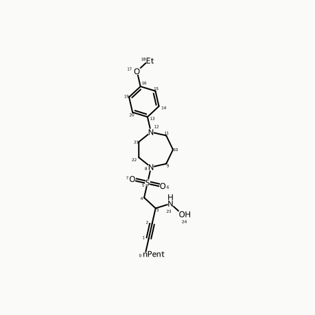 CCCCCC#CC(CS(=O)(=O)N1CCCN(c2ccc(OCC)cc2)CC1)NO